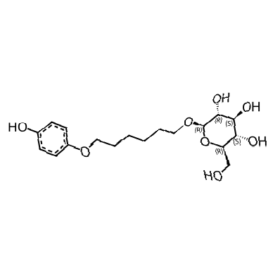 OC[C@H]1O[C@@H](OCCCCCCOc2ccc(O)cc2)[C@H](O)[C@@H](O)[C@@H]1O